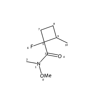 CON(C)C(=O)C1(F)CCC1C